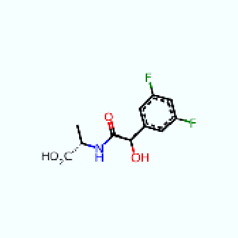 C[C@H](NC(=O)C(O)c1cc(F)cc(F)c1)C(=O)O